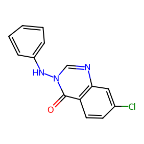 O=c1c2ccc(Cl)cc2ncn1Nc1ccccc1